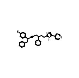 Fc1ccc(C(C#CCC(CCc2ncc(-c3ccncc3)[nH]2)c2ccccc2)Cc2ccccc2)cc1